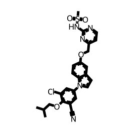 CC(C)COc1c(Cl)cc(-n2ccc3cc(OCc4ccnc(NS(C)(=O)=O)n4)ccc32)cc1C#N